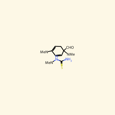 CNC1=CCC(C=O)(NC)C=C1.CNNC(N)=S